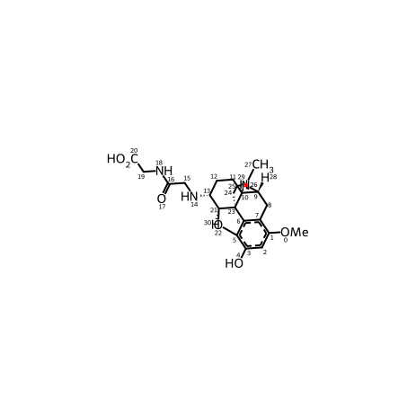 COc1cc(O)c2c3c1C[C@@H]1[C@@H]4CC[C@@H](NCC(=O)NCC(=O)O)[C@H](O2)[C@]34CCN1C